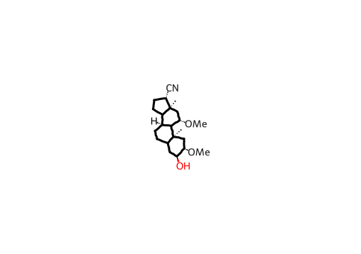 CO[C@H]1C[C@@]2(C)C(CC[C@@H]2C#N)[C@@H]2CCC3C[C@H](O)[C@@H](OC)C[C@]3(C)C21